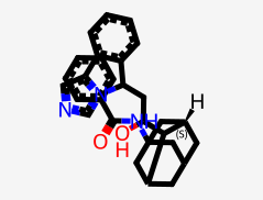 O=C(NC12CC3CC(C1)C(C(O)CC1c4ccccc4-c4cncn41)[C@@H](C3)C2)c1ccccc1